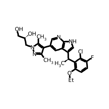 CCOc1ccc(F)c(Cl)c1[C@@H](C)c1c[nH]c2ncc(-c3c(C)nn(C[C@@H](O)CO)c3C)cc12